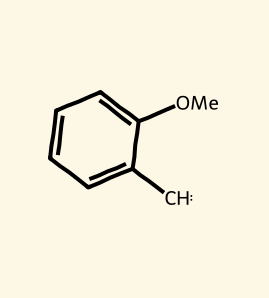 [CH]c1ccccc1OC